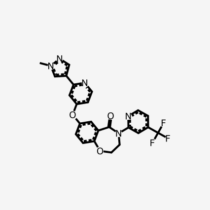 Cn1cc(-c2cc(Oc3ccc4c(c3)C(=O)N(c3cc(C(F)(F)F)ccn3)CCO4)ccn2)cn1